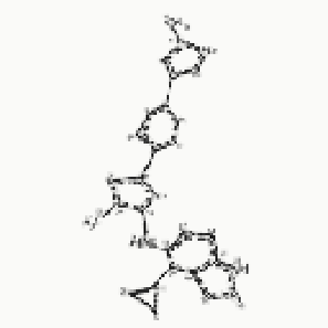 Cn1cc(-c2ccc(-c3nc(Nc4ccc5[nH]ncc5c4C4CC4)n(C)n3)cc2)cn1